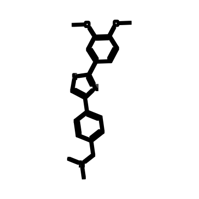 COc1ccc(-c2nc(-c3ccc(CN(C)C)cc3)cs2)cc1OC